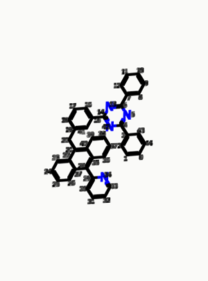 c1ccc(-c2nc(-c3ccccc3)nc(-c3cccc(Cc4c5ccccc5c(-c5ccccn5)c5ccccc45)c3)n2)cc1